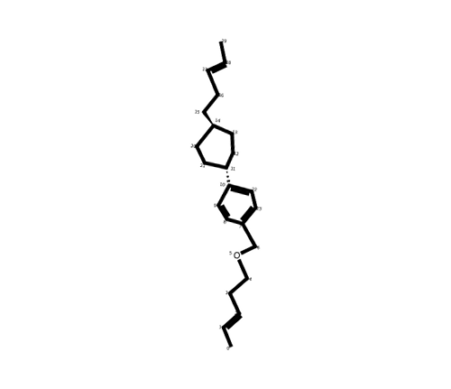 CC=CCCOCc1ccc([C@H]2CC[C@H](CCC=CC)CC2)cc1